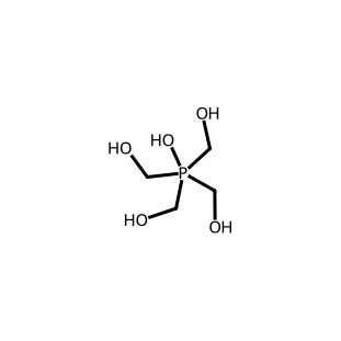 OCP(O)(CO)(CO)CO